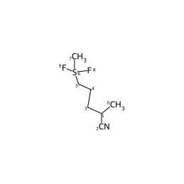 CC(C#N)CCCS(C)(F)F